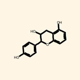 Oc1ccc(C2Oc3cccc(O)c3CC2O)cc1